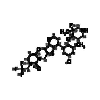 Cc1cc(Cl)cc(-c2ccnc3cc(Cn4c(=O)ccn(CC(F)(F)F)c4=O)sc23)c1O[C@@H]1CCNC[C@@]1(C)F